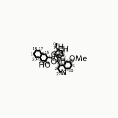 C=C[C@H]1CN2CC[C@H]1C[C@H]2[C@H](OC(=O)c1cc2ccccc2cc1O)c1ccnc2ccc(OC)cc12